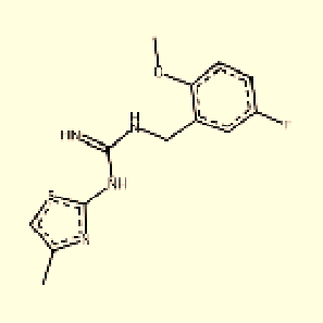 COc1ccc(F)cc1CNC(=N)Nc1nc(C)cs1